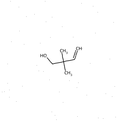 [CH]=CC(C)(C)CO